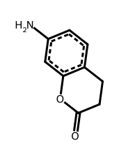 Nc1ccc2c(c1)OC(=O)CC2